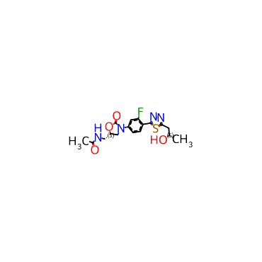 CC(=O)NC[C@H]1CN(c2ccc(-c3nnc(C[C@H](C)O)s3)c(F)c2)C(=O)O1